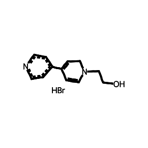 Br.OCCN1C=CC(c2ccncc2)=CC1